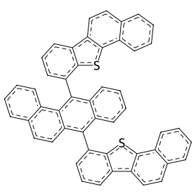 c1ccc2c(c1)ccc1c3cccc(-c4c5ccccc5c(-c5cccc6c5sc5c7ccccc7ccc65)c5c4ccc4ccccc45)c3sc21